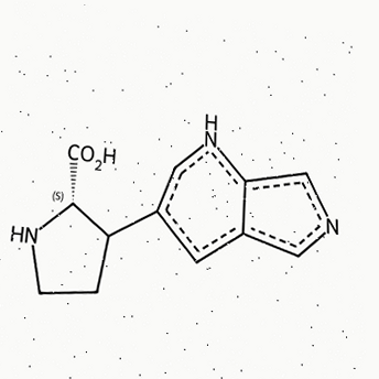 O=C(O)[C@H]1NCCC1c1c[nH]c2cncc-2c1